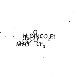 CCOC(=O)Cn1c(=O)n(C)c2c(-c3cc(F)c(OCc4ccccc4)c(OC)c3)cc(C(F)(F)F)cc21